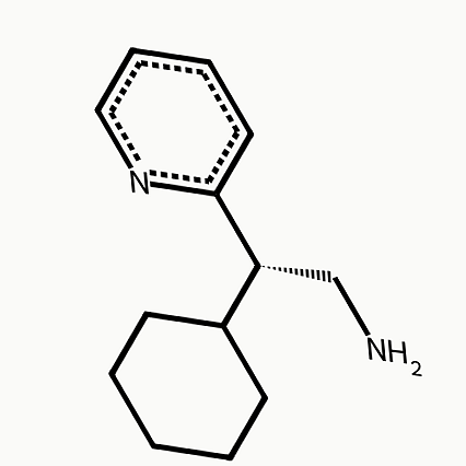 NC[C@@H](c1ccccn1)C1CCCCC1